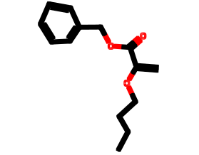 C=C(OCCCC)C(=O)OCc1ccccc1